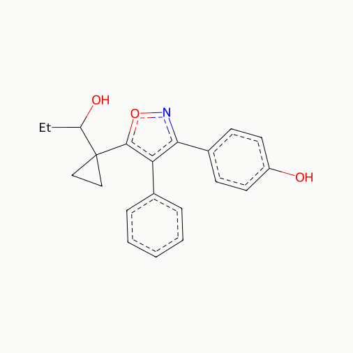 CCC(O)C1(c2onc(-c3ccc(O)cc3)c2-c2ccccc2)CC1